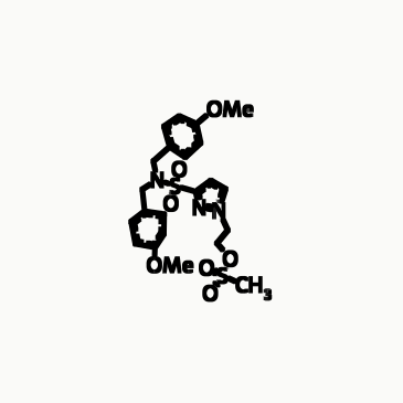 COc1ccc(CN(Cc2ccc(OC)cc2)S(=O)(=O)c2ccn(CCOS(C)(=O)=O)n2)cc1